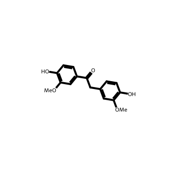 COc1cc(CC(=O)c2ccc(O)c(OC)c2)ccc1O